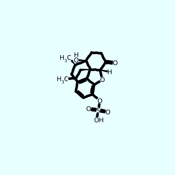 CCC[C@]12c3c4ccc(OS(=O)(=O)O)c3O[C@H]1C(=O)CC[C@@]2(O)[C@H](C)C4